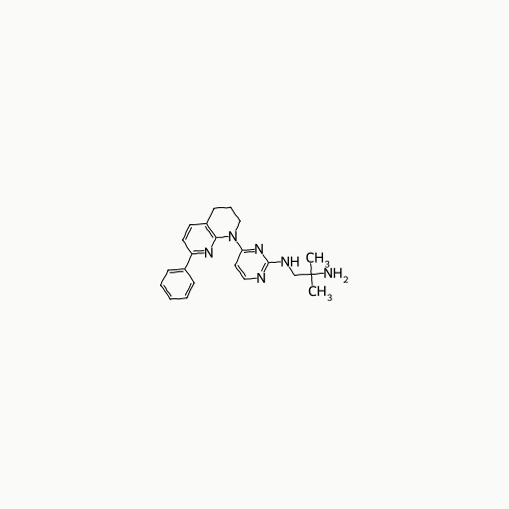 CC(C)(N)CNc1nccc(N2CCCc3ccc(-c4ccccc4)nc32)n1